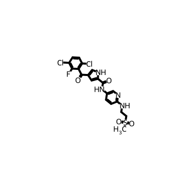 CS(=O)(=O)CCNc1ccc(NC(=O)c2cc(C(=O)c3c(Cl)ccc(Cl)c3F)c[nH]2)cn1